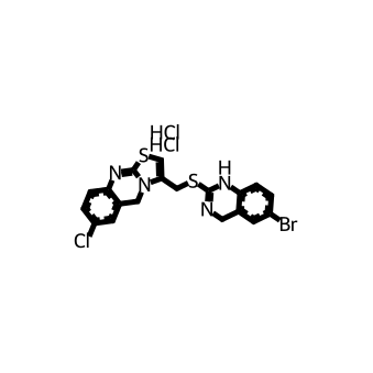 Cl.Cl.Clc1ccc2c(c1)CN1C(CSC3=NCc4cc(Br)ccc4N3)=CSC1=N2